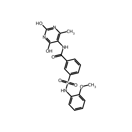 COc1ccccc1NS(=O)(=O)c1cccc(C(=O)Nc2c(C)nc(O)nc2O)c1